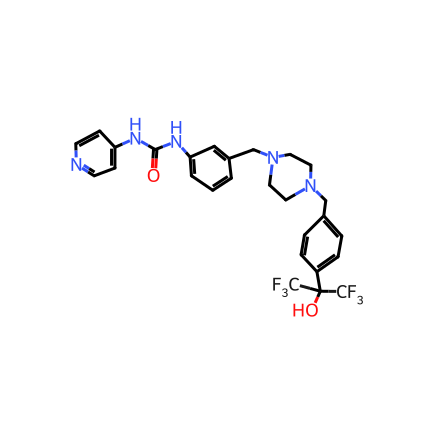 O=C(Nc1ccncc1)Nc1cccc(CN2CCN(Cc3ccc(C(O)(C(F)(F)F)C(F)(F)F)cc3)CC2)c1